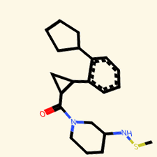 CSNC1CCCN(C(=O)C2CC2c2ccccc2C2CCCC2)C1